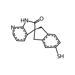 O=C1Nc2ncccc2[C@]12Cc1ccc(S)cc1C2